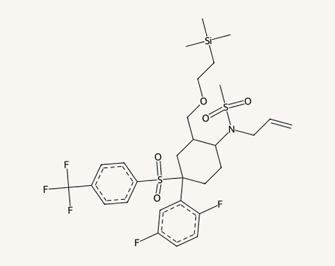 C=CCN(C1CCC(c2cc(F)ccc2F)(S(=O)(=O)c2ccc(C(F)(F)F)cc2)CC1COCC[Si](C)(C)C)S(C)(=O)=O